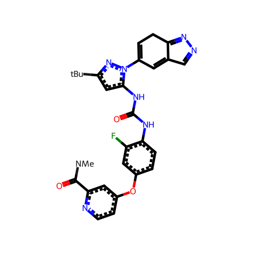 CNC(=O)c1cc(Oc2ccc(NC(=O)Nc3cc(C(C)(C)C)nn3C3=CCC4=NN=CC4=C3)c(F)c2)ccn1